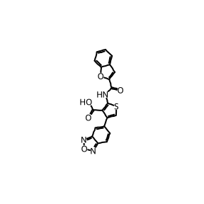 O=C(Nc1scc(-c2ccc3nonc3c2)c1C(=O)O)c1cc2ccccc2o1